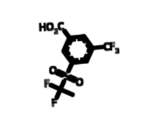 CC(F)(F)S(=O)(=O)c1cc(C(=O)O)cc(C(F)(F)F)c1